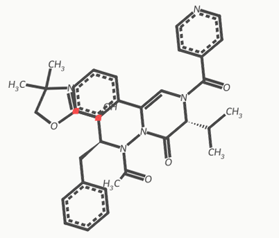 CC(=O)N([C@@H](Cc1ccccc1)C(O)C1=NC(C)(C)CO1)N1C(=O)[C@@H](C(C)C)N(C(=O)c2ccncc2)C=C1c1ccccc1